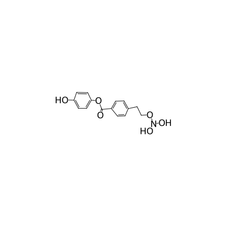 O=C(Oc1ccc(O)cc1)c1ccc(CCON(O)O)cc1